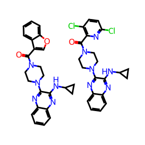 O=C(c1coc2ccccc12)N1CCN(c2nc3ccccc3nc2NC2CC2)CC1.O=C(c1nc(Cl)ccc1Cl)N1CCN(c2nc3ccccc3nc2NC2CC2)CC1